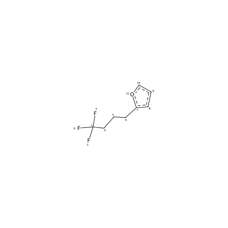 FC(F)(F)CCCc1ccco1